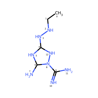 CCNNC1NC(N)N(C(=N)N)N1